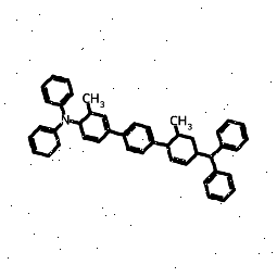 CC1C=C(c2ccc(C3C=CC(C(c4ccccc4)c4ccccc4)CC3C)cc2)C=CC1N(C1=CC=CCC1)c1ccccc1